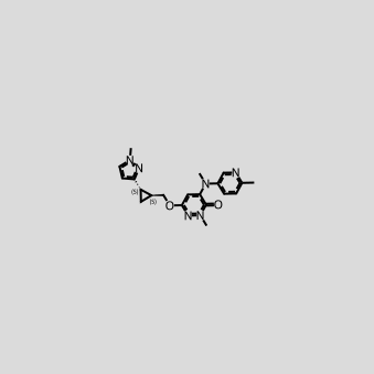 Cc1ccc(N(C)c2cc(OC[C@H]3C[C@@H]3c3ccn(C)n3)nn(C)c2=O)cn1